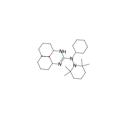 CC1(C)CCCC(C)(C)N1N(C(=NC1CCCCC1)NC1CCCCC1)C1CCCCC1